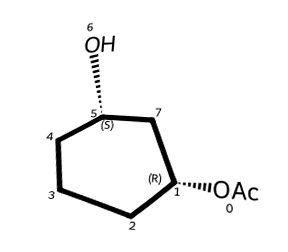 CC(=O)O[C@@H]1CCC[C@H](O)C1